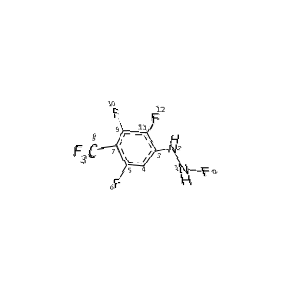 FNNc1cc(F)c(C(F)(F)F)c(F)c1F